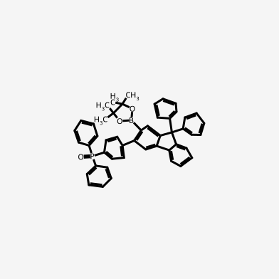 CC1(C)OB(c2cc3c(cc2-c2ccc(P(=O)(c4ccccc4)c4ccccc4)cc2)-c2ccccc2C3(c2ccccc2)c2ccccc2)OC1(C)C